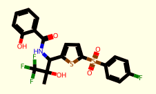 CC(O)(C(NC(=O)c1ccccc1O)c1ccc(S(=O)(=O)c2ccc(F)cc2)s1)C(F)(F)F